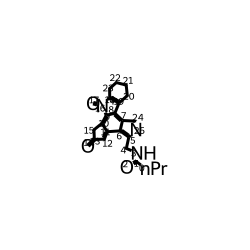 CCCC(=O)NCC1=c2c(c3c(c4c2=CC(=O)C4)[N+](=O)C2=C3CCCC2)C=N1